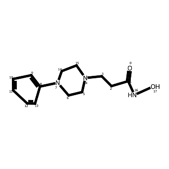 O=C(CCN1CCN(c2ccccc2)CC1)NO